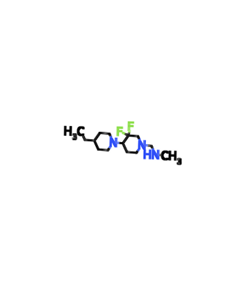 CCC1CCN(C2CCN(CNC)CC2(F)F)CC1